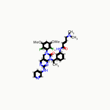 COc1cc(OC)c(F)c(N2Cc3cnc(Nc4cccnc4)nc3N(C(C)c3cccc(NC(=O)/C=C/CN(C)C)c3)C2=O)c1F